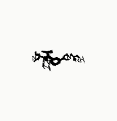 Cc1cc(-c2[nH]c3ccc(C4CCN(CC5CCNC5)CC4)cc3c2C(C)C)cc(C)n1